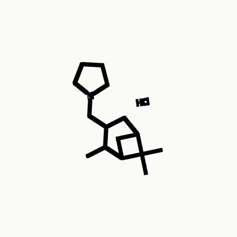 CC1C(CN2CCCC2)CC2CC1C2(C)C.Cl